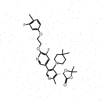 Cc1ccc(OCCOc2ncc(-c3cnc(C)c([C@@H]4OC(C)(C)OC4=O)c3N3CCC(C)(C)CC3)cc2F)cc1F